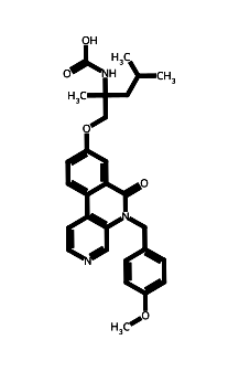 COc1ccc(Cn2c(=O)c3cc(OCC(C)(CC(C)C)NC(=O)O)ccc3c3ccncc32)cc1